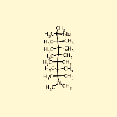 CN(C)C(C)(C)C(C)(C)C(C)(C)C(C)(C)C(C)(C)C(C)(C)C(C)(C)C(C)(C)C